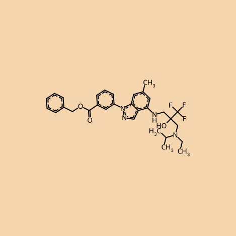 CCN(CC(O)(CNc1cc(C)cc2c1cnn2-c1cccc(C(=O)OCc2ccccc2)c1)C(F)(F)F)C(C)C